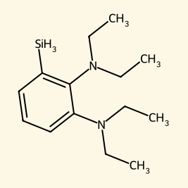 CCN(CC)c1cccc([SiH3])c1N(CC)CC